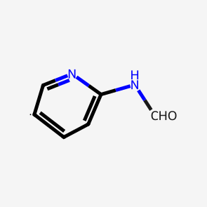 O=CNc1cc[c]cn1